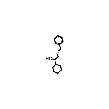 OC(COCc1ccccc1)C1CCCCC1